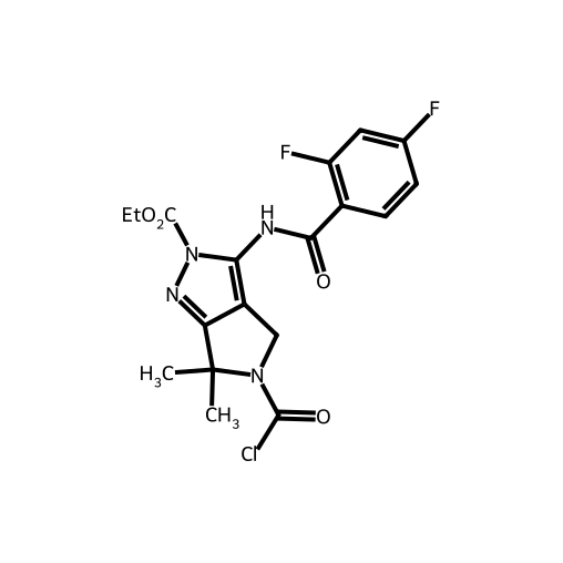 CCOC(=O)n1nc2c(c1NC(=O)c1ccc(F)cc1F)CN(C(=O)Cl)C2(C)C